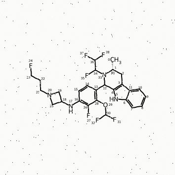 C[C@@H]1Cc2c([nH]c3ccccc23)C(c2ccc(NC3CN(CCCF)C3)c(F)c2OC(F)F)N1C(F)C(F)F